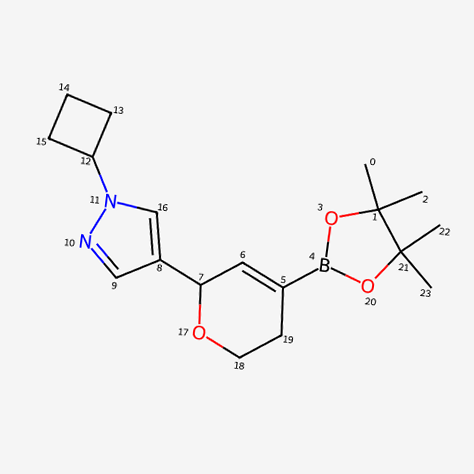 CC1(C)OB(C2=CC(c3cnn(C4CCC4)c3)OCC2)OC1(C)C